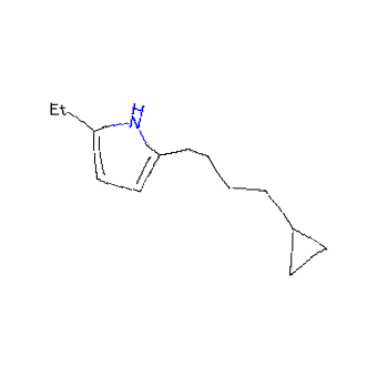 CCc1ccc(CCCC2CC2)[nH]1